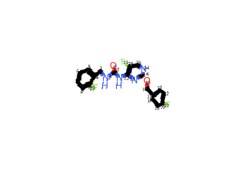 O=C(NCc1ccccc1F)Nc1nc(OCc2ccc(F)cc2)ncc1F